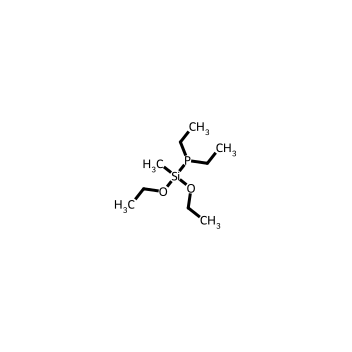 CCO[Si](C)(OCC)P(CC)CC